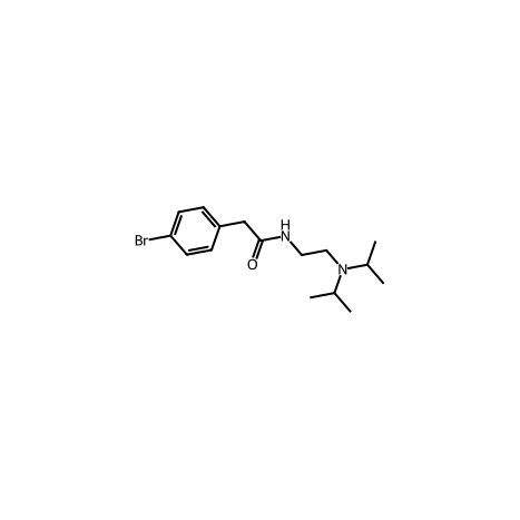 CC(C)N(CCNC(=O)Cc1ccc(Br)cc1)C(C)C